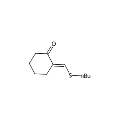 CCCCS/C=C1\CCCCC1=O